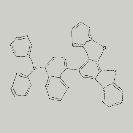 c1ccc(N(c2ccccc2)c2ccc(-c3cc4c5ccccc5sc4c4oc5ccccc5c34)c3ccccc23)cc1